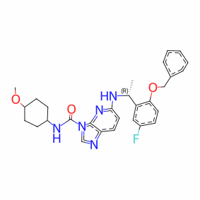 COC1CCC(NC(=O)n2cnc3ccc(N[C@H](C)c4cc(F)ccc4OCc4ccccc4)nc32)CC1